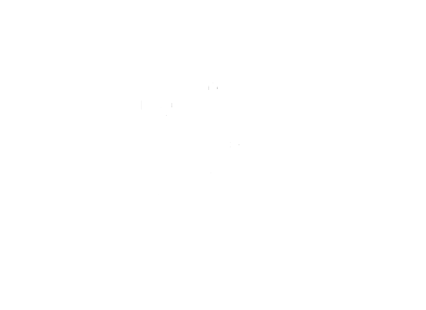 O=C(O)C(C/C=C\c1ccccc1)S(=O)(=O)c1ccccc1